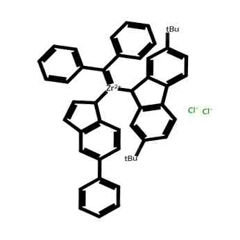 CC(C)(C)c1ccc2c(c1)[CH]([Zr+2](=[C](c1ccccc1)c1ccccc1)[CH]1C=Cc3cc(-c4ccccc4)ccc31)c1cc(C(C)(C)C)ccc1-2.[Cl-].[Cl-]